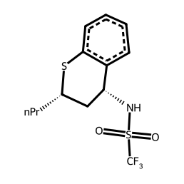 CCC[C@H]1C[C@@H](NS(=O)(=O)C(F)(F)F)c2ccccc2S1